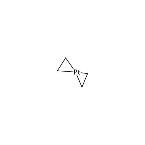 [CH2]1[CH2][Pt]12[CH2][CH2]2